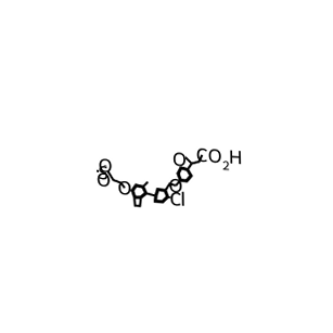 Cc1cc(OCCCS(C)(=O)=O)c2c(c1-c1ccc(Cl)c(COc3ccc4c(c3)OCC4CC(=O)O)c1)CC2